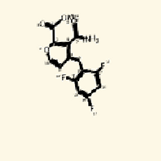 COC(=O)C1=C(C(N)=O)C(Cc2c(F)cc(F)cc2F)C=CO1